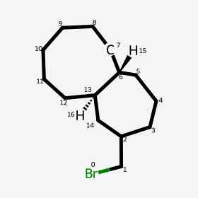 BrCC1CCC[C@H]2CCCCCC[C@@H]2C1